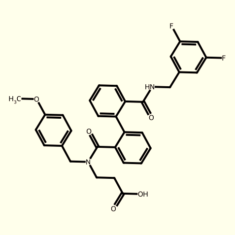 COc1ccc(CN(CCC(=O)O)C(=O)c2ccccc2-c2ccccc2C(=O)NCc2cc(F)cc(F)c2)cc1